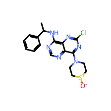 CC(Nc1ncnc2c(N3CC[S+]([O-])CC3)nc(Cl)nc12)c1ccccc1